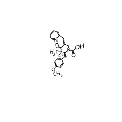 COc1ccc(CC2N(C(=O)O)C/C(=C/c3ccccn3)C(=O)C2(C)C)cc1